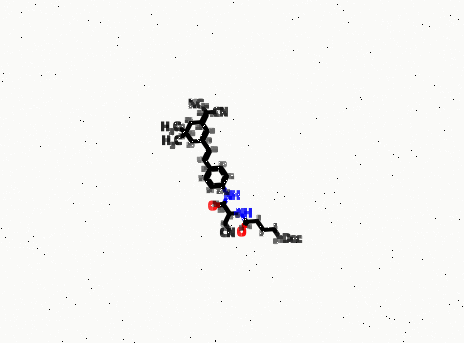 CCCCCCCCCCCCCC(=O)NC(CC#N)C(=O)Nc1ccc(C=CC2=CC(=C(C#N)C#N)CC(C)(C)C2)cc1